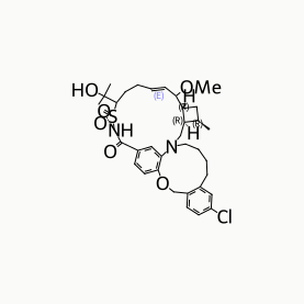 COC1/C=C/CCC(C(C)(C)O)S(=O)(=O)NC(=O)c2ccc3c(c2)N(CCCCc2cc(Cl)ccc2CO3)C[C@@H]2[C@H](C)C[C@@H]12